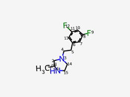 C[C@H]1CN(CCc2cc(F)cc(F)c2)CCN1